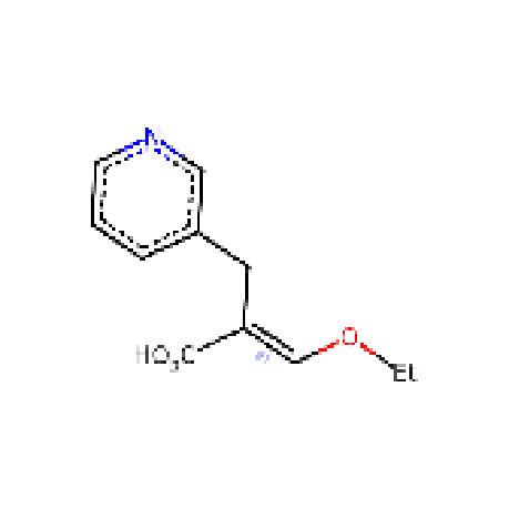 CCO/C=C(\Cc1cccnc1)C(=O)O